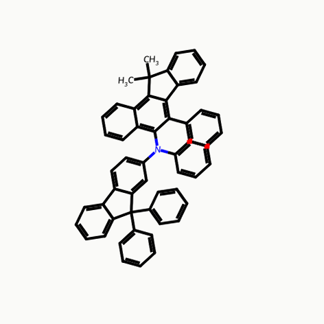 CC1(C)c2ccccc2-c2c(-c3ccccc3)c(N(c3ccccc3)c3ccc4c(c3)C(c3ccccc3)(c3ccccc3)c3ccccc3-4)c3ccccc3c21